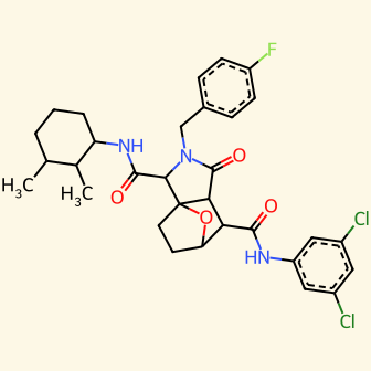 CC1CCCC(NC(=O)C2N(Cc3ccc(F)cc3)C(=O)C3C(C(=O)Nc4cc(Cl)cc(Cl)c4)C4CCC32O4)C1C